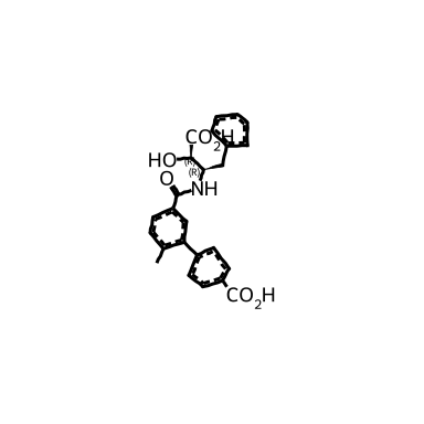 Cc1ccc(C(=O)N[C@H](Cc2ccccc2)[C@@H](O)C(=O)O)cc1-c1ccc(C(=O)O)cc1